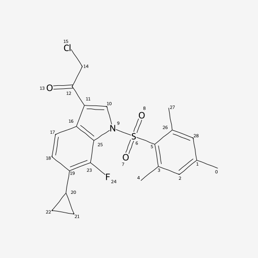 Cc1cc(C)c(S(=O)(=O)n2cc(C(=O)CCl)c3ccc(C4CC4)c(F)c32)c(C)c1